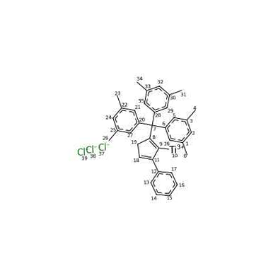 Cc1cc(C)cc(C(C2=[C]([Ti+3])C(c3ccccc3)=CC2)(c2cc(C)cc(C)c2)c2cc(C)cc(C)c2)c1.[Cl-].[Cl-].[Cl-]